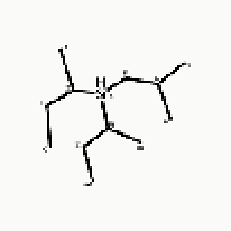 CCC(C)[SiH](CC(C)C)C(C)CC